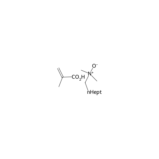 C=C(C)C(=O)O.CCCCCCCC[N+](C)(C)[O-]